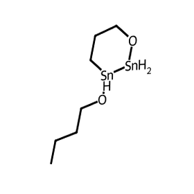 CCCC[O][SnH]1[CH2]CC[O][SnH2]1